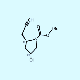 C#CC[C@@H]1C[C@@H](O)CN1C(=O)OC(C)(C)C